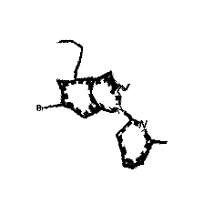 CCc1cc(Br)cc2c1cnn2-c1cccc(C)n1